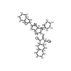 O=C1C(=Cc2nc3sc(-c4cc5ccccc5o4)nc3n2-c2ccccc2)C(=O)c2cc3ccccc3cc21